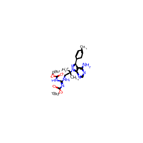 CC1=CCC(c2nn(C(C)(C)CN/C(=N/C(=O)OC(C)(C)C)NC(=O)OC(C)(C)C)c3ncnc(N)c23)C=C1